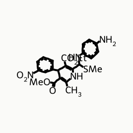 CCOC(=O)C1=C(C(Nc2ccc(N)cc2)SC)NC(C)=C(C(=O)OC)C1c1cccc([N+](=O)[O-])c1